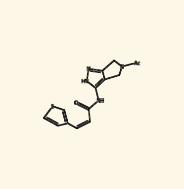 CC(=O)N1Cc2n[nH]c(NC(=O)/C=C\c3ccsc3)c2C1